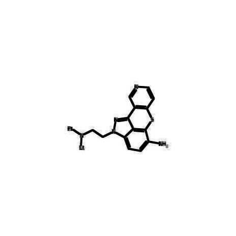 CCN(CC)CCn1nc2c3c(c(N)ccc31)Sc1ccncc1-2